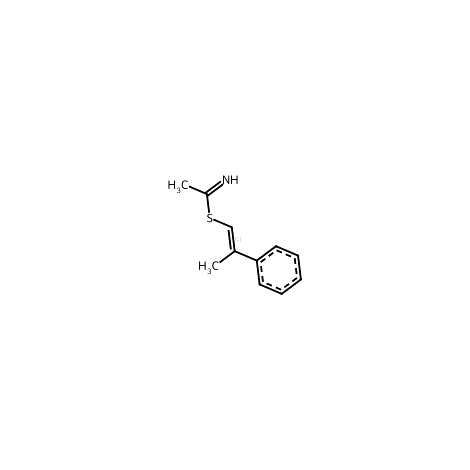 CC(=N)S/C=C(\C)c1ccccc1